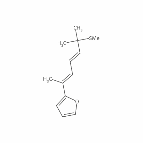 CSC(C)(C)/C=C/C=C(\C)c1ccco1